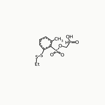 CCSSc1cccc(C)c1S(=O)(=O)OC[PH](=O)O